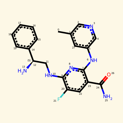 Cc1cncc(Nc2nc(NC[C@@H](N)c3ccccc3)c(F)cc2C(N)=O)c1